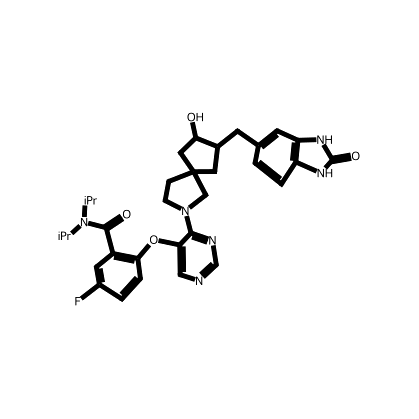 CC(C)N(C(=O)c1cc(F)ccc1Oc1cncnc1N1CCC2(CC(O)C(Cc3ccc4[nH]c(=O)[nH]c4c3)C2)C1)C(C)C